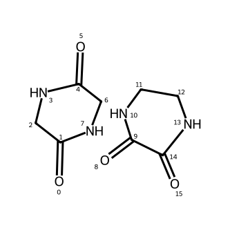 O=C1CNC(=O)CN1.O=C1NCCNC1=O